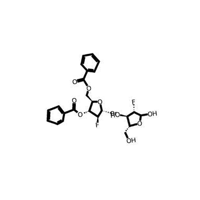 O=C(OC[C@H]1O[C@H](Br)[C@@H](F)[C@@H]1OC(=O)c1ccccc1)c1ccccc1.OC[C@H]1OC(O)[C@@H](F)[C@@H]1O